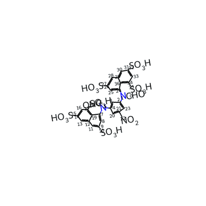 O=CN(c1cc(N(C=O)c2cc(S(=O)(=O)O)cc3cc(S(=O)(=O)O)cc(S(=O)(=O)O)c23)cc([N+](=O)[O-])c1)c1cc(S(=O)(=O)O)cc2cc(S(=O)(=O)O)cc(S(=O)(=O)O)c12